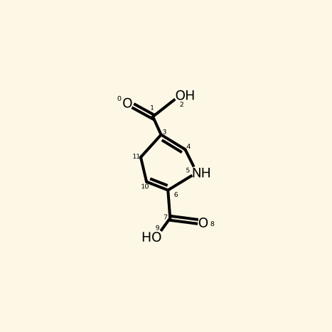 O=C(O)C1=CNC(C(=O)O)=CC1